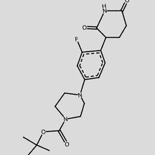 CC(C)(C)OC(=O)N1CCN(c2ccc(C3CCC(=O)NC3=O)c(F)c2)CC1